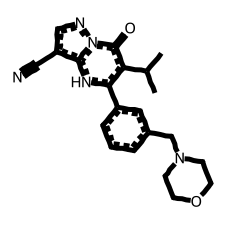 CC(C)c1c(-c2cccc(CN3CCOCC3)c2)[nH]c2c(C#N)cnn2c1=O